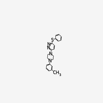 Cc1cccc(N2CCN(c3ccc(Sc4ccccc4)nn3)CC2)c1